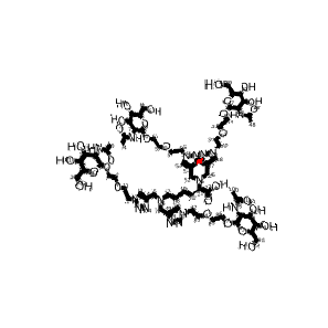 CC(=O)NC1C(OCCOCCn2cc(CN(CCCC[C@H](C(=O)O)N(Cc3cn(CCOCCOC4OC(CO)C(O)C(O)C4NC(C)=O)nn3)Cc3cn(CCOCCOC4OC(CO)C(O)C(O)C4NC(C)=O)nn3)Cc3cn(CCOCCOC4OC(CO)C(O)C(O)C4NC(C)=O)nn3)nn2)OC(CO)C(O)C1O